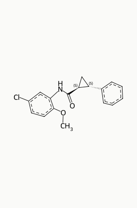 COc1ccc(Cl)cc1NC(=O)[C@H]1C[C@@H]1c1ccccc1